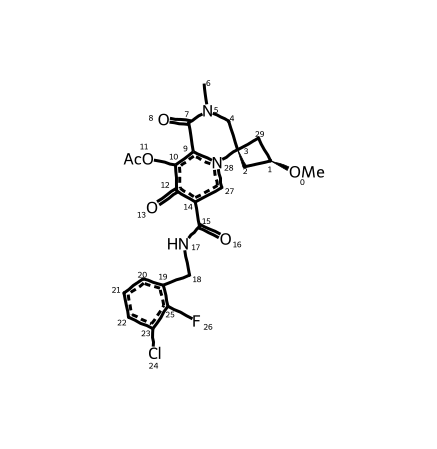 CO[C@H]1C[C@@]2(CN(C)C(=O)c3c(OC(C)=O)c(=O)c(C(=O)NCc4cccc(Cl)c4F)cn32)C1